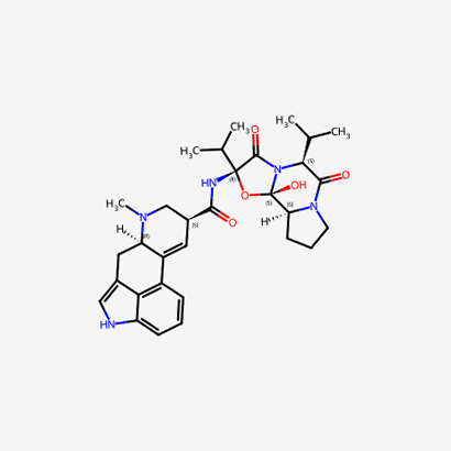 CC(C)[C@H]1C(=O)N2CCC[C@H]2[C@]2(O)O[C@](NC(=O)[C@H]3C=C4c5cccc6[nH]cc(c56)C[C@H]4N(C)C3)(C(C)C)C(=O)N12